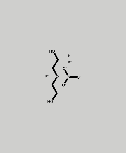 OCCOCCO.[K+].[K+].[K+].[O-]B([O-])[O-]